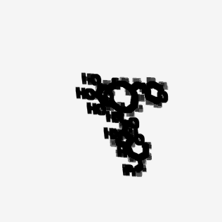 CC(C)C[C@@H]1CCO[C@H]2C(C(=O)N[C@@H]3C/C=C\C(CN4CCOCC4)CSC4OC3C(O)C(O)C4O)NC[C@@H]2C1